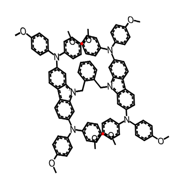 COc1ccc(N(c2ccc(OC)cc2)c2ccc3c4ccc(N(c5ccc(OC)cc5)c5ccc(OC)cc5)cc4n(Cc4ccccc4Cn4c5cc(N(c6ccc(OC)cc6)c6ccc(OC)cc6)ccc5c5ccc(N(c6ccc(OC)cc6)c6ccc(OC)cc6)cc54)c3c2)cc1